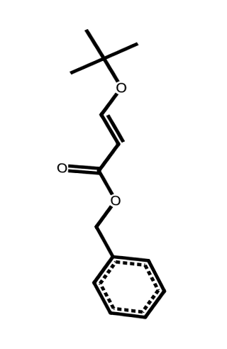 CC(C)(C)OC=CC(=O)OCc1ccccc1